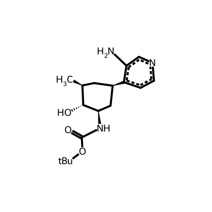 C[C@H]1C[C@@H](c2ccncc2N)C[C@@H](NC(=O)OC(C)(C)C)[C@@H]1O